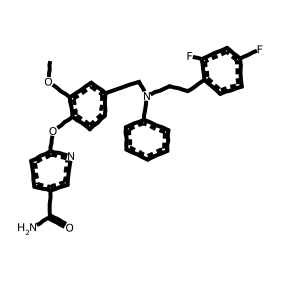 COc1cc(CN(CCc2ccc(F)cc2F)c2ccccc2)ccc1Oc1ccc(C(N)=O)cn1